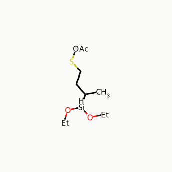 CCO[SiH](OCC)C(C)CCSOC(C)=O